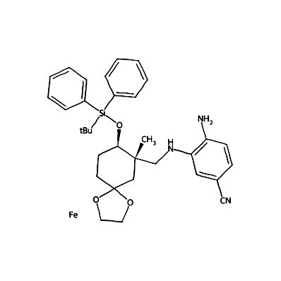 CC(C)(C)[Si](O[C@@H]1CCC2(C[C@@]1(C)CNc1cc(C#N)ccc1N)OCCO2)(c1ccccc1)c1ccccc1.[Fe]